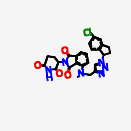 CN(Cc1cn([C@@H]2CCc3cc(Cl)ccc32)nn1)c1cccc2c1C(=O)N(C1CCC(=O)NC1=O)C2=O